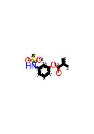 C=C(C)C(=O)Oc1cccc(NS(C)(=O)=O)c1